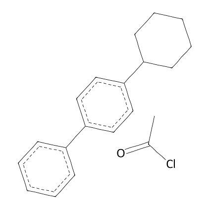 CC(=O)Cl.c1ccc(-c2ccc(C3CCCCC3)cc2)cc1